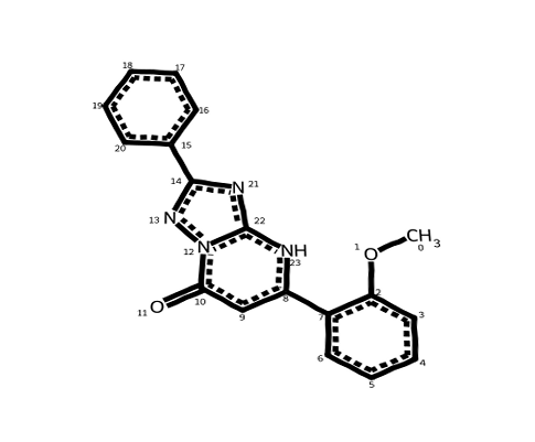 COc1ccccc1-c1cc(=O)n2nc(-c3ccccc3)nc2[nH]1